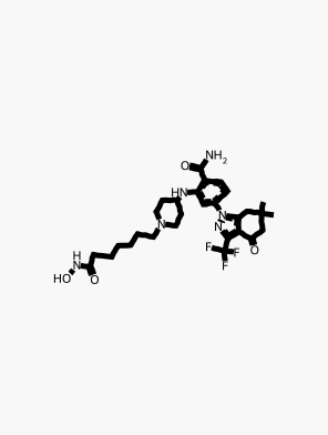 CC1(C)CC(=O)c2c(C(F)(F)F)nn(-c3ccc(C(N)=O)c(NC4CCN(CCCCCCC(=O)NO)CC4)c3)c2C1